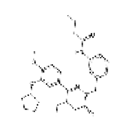 CCCC(=O)Nc1cccc(CN2N=C(c3ccc(OC)c(OC4CCCC4)c3)C(CC)CC2=O)c1